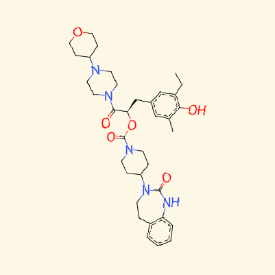 CCc1cc(C[C@@H](OC(=O)N2CCC(N3CCc4ccccc4NC3=O)CC2)C(=O)N2CCN(C3CCOCC3)CC2)cc(C)c1O